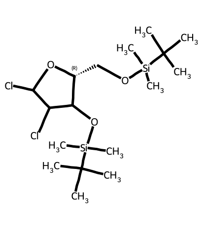 CC(C)(C)[Si](C)(C)OC[C@H]1OC(Cl)C(Cl)C1O[Si](C)(C)C(C)(C)C